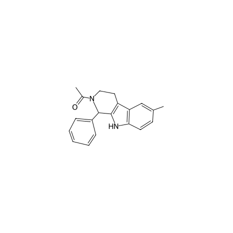 CC(=O)N1CCc2c([nH]c3ccc(C)cc23)C1c1ccccc1